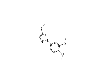 CCc1cnn(-c2ccc(OC)c(OC)c2)c1